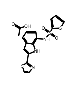 CC(=O)O.O=S(=O)(Nc1cccc2cc(-c3nccs3)[nH]c12)c1cccs1